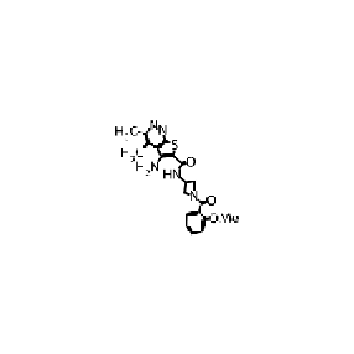 COc1ccccc1C(=O)N1CC(NC(=O)c2sc3nnc(C)c(C)c3c2N)C1